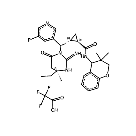 CC[C@@]1(C)CC(=O)N(C(c2cncc(F)c2)[C@@H]2C[C@H]2C(=O)NC2c3ccccc3OCC2(C)C)C(=N)N1.O=C(O)C(F)(F)F